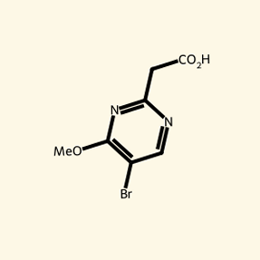 COc1nc(CC(=O)O)ncc1Br